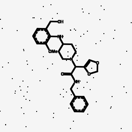 COc1cccc(CO)c1NC1CCN(C(C(=O)NCc2ccccc2)C2=COCO2)CC1